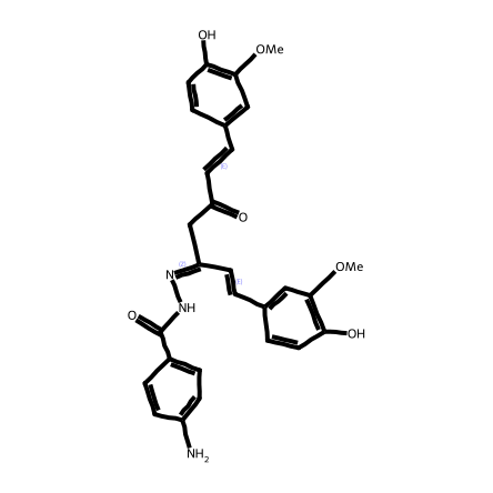 COc1cc(/C=C/C(=O)CC(/C=C/c2ccc(O)c(OC)c2)=N/NC(=O)c2ccc(N)cc2)ccc1O